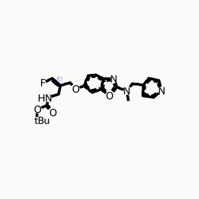 CN(Cc1ccncc1)c1nc2ccc(OC/C(=C/F)CNC(=O)OC(C)(C)C)cc2o1